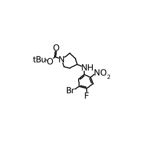 CC(C)(C)OC(=O)N1CCC(Nc2cc(Br)c(F)cc2[N+](=O)[O-])CC1